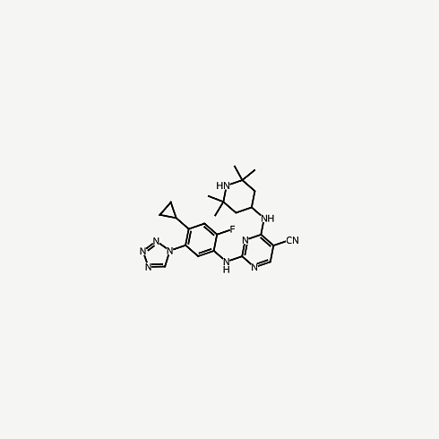 CC1(C)CC(Nc2nc(Nc3cc(-n4cnnn4)c(C4CC4)cc3F)ncc2C#N)CC(C)(C)N1